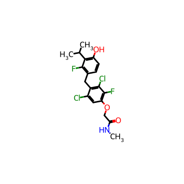 CNC(=O)COc1cc(Cl)c(Cc2ccc(O)c(C(C)C)c2F)c(Cl)c1F